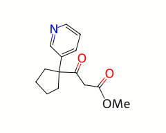 COC(=O)CC(=O)C1(c2cccnc2)CCCC1